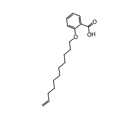 C=CCCCCCCCCCOc1ccccc1C(=O)O